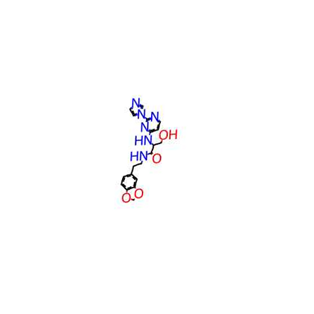 O=C(NCCc1ccc2c(c1)OCO2)C(CO)Nc1ccnc(-n2ccnc2)n1